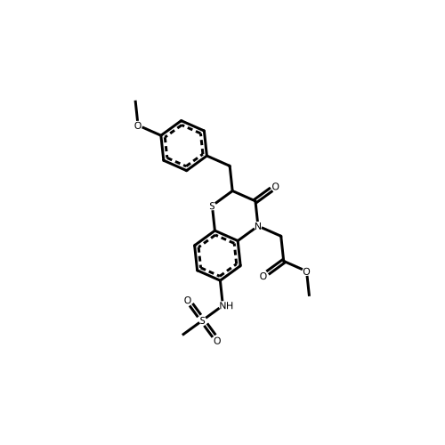 COC(=O)CN1C(=O)C(Cc2ccc(OC)cc2)Sc2ccc(NS(C)(=O)=O)cc21